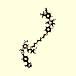 Cc1ncsc1-c1ccc(CNC(=O)[C@@H]2C[C@@H](O)CN2C(=O)[C@@H](NC(=O)COCCOCCOc2ccc(N3C(=O)N(c4ccc(C#N)c(C(F)(F)F)c4)C(=O)C3(C)C)cc2)C(C)(C)C)cc1